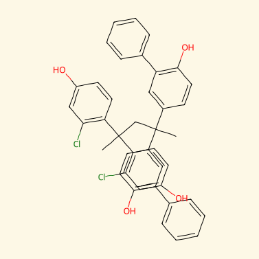 CC(CC(C)(c1ccc(O)cc1Cl)c1ccc(O)cc1Cl)(c1ccc(O)c(-c2ccccc2)c1)c1ccc(O)c(-c2ccccc2)c1